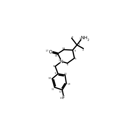 CC(C)(N)C1CCN(Cc2ccc(F)cc2)C(=O)C1